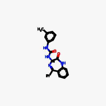 Cc1cccc(NC(=O)N[C@@H]2N=C(C(C)C)c3ccccc3NC2=O)c1